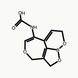 O=C(O)NC1=COCC2=C3B(OCC=C13)OC2